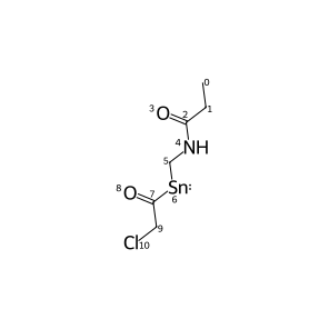 CCC(=O)N[CH2][Sn][C](=O)CCl